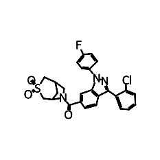 O=C(c1ccc2c(-c3ccccc3Cl)nn(-c3ccc(F)cc3)c2c1)N1CC2CC1CS(=O)(=O)C2